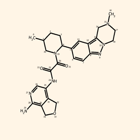 CC1CCC(c2ccc3nn4c(c3c2)CN(C)CC4)N(C(=O)C(=O)Nc2cnc(N)c3c2COC3)C1